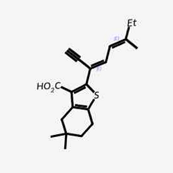 C#C/C(=C\C=C(/C)CC)c1sc2c(c1C(=O)O)CC(C)(C)CC2